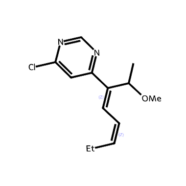 CC/C=C\C=C(\c1cc(Cl)ncn1)C(C)OC